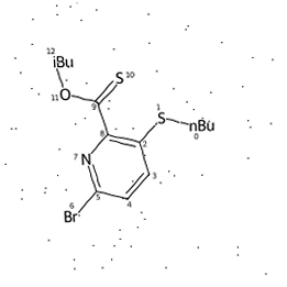 CCCCSc1ccc(Br)nc1C(=S)OC(C)CC